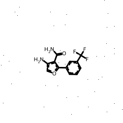 NC(=O)c1c(N)coc1-c1cccc(C(F)(F)F)c1